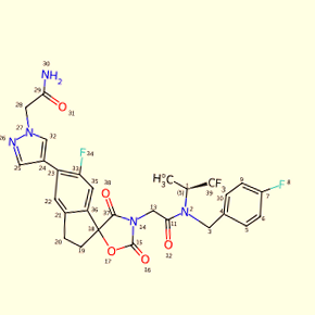 C[C@H](N(Cc1ccc(F)cc1)C(=O)CN1C(=O)OC2(CCc3cc(-c4cnn(CC(N)=O)c4)c(F)cc32)C1=O)C(F)(F)F